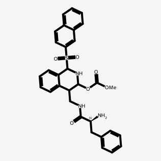 COC(=O)OC1NC(S(=O)(=O)c2ccc3ccccc3c2)c2ccccc2C1CNC(=O)[C@@H](N)Cc1ccccc1